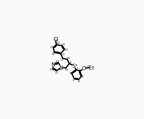 CCOc1ccccc1SC(CCc1ccc(Cl)cc1)Cn1ccnc1